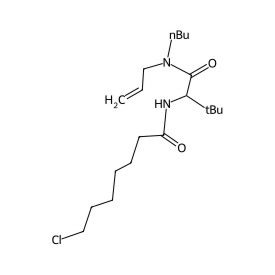 C=CCN(CCCC)C(=O)C(NC(=O)CCCCCCCl)C(C)(C)C